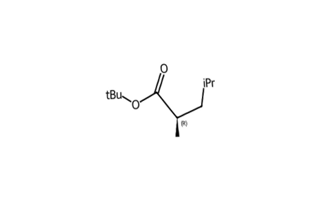 CC(C)C[C@@H](C)C(=O)OC(C)(C)C